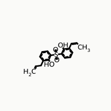 C=CCc1cccc(S(=O)(=O)c2cccc(/C=C\C)c2O)c1O